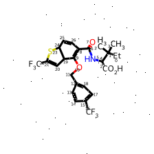 CCC(C)(C)C(NC(=O)C1=C(OCc2ccc(C(F)(F)F)cc2)C2C=C(C(F)(F)F)SC2C=C1)C(=O)O